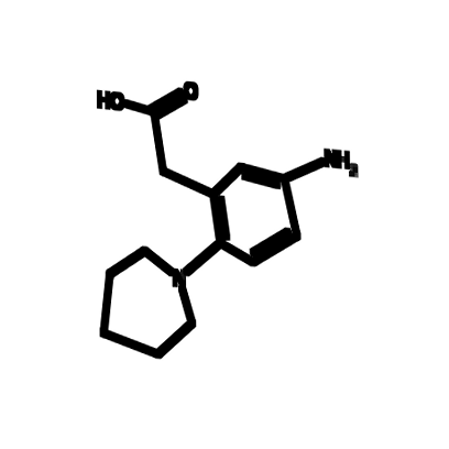 Nc1ccc(N2CCCCC2)c(CC(=O)O)c1